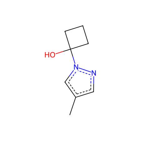 Cc1cnn(C2(O)CCC2)c1